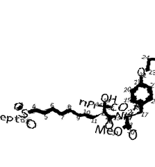 CCCCCCCS(=O)(=O)CCCCCCC=C[C@H](C(=O)N[C@@H](Cc1ccc(OCCCF)cc1)C(=O)OC)[C@@](O)(CCC)C(=O)O